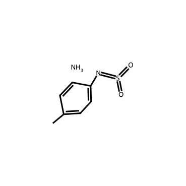 Cc1ccc(N=S(=O)=O)cc1.N